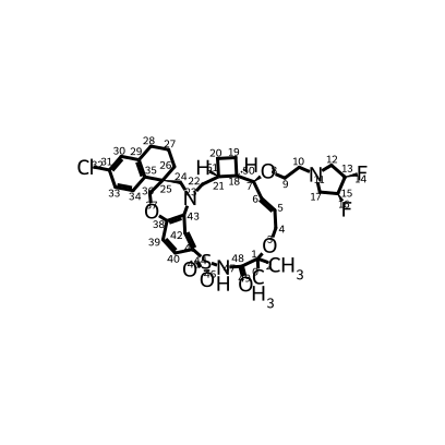 CC1(C)OC/C=C/[C@H](OCCN2C[C@@H](F)[C@@H](F)C2)[C@@H]2CC[C@H]2CN2C[C@@]3(CCCc4cc(Cl)ccc43)COc3ccc(cc32)S(=O)(=O)NC1=O